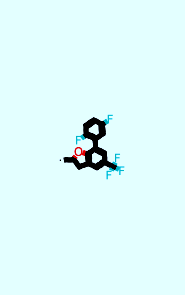 [CH2]C1Cc2cc(C(F)(F)F)cc(-c3cc(F)ccc3F)c2O1